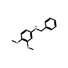 COc1ccc(NCc2ccccc2)cc1OC